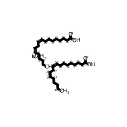 CCCCC/C=C\C/C=C\CCCCCCCC(=O)O.CCCCC/C=C\C/C=C\CCCCCCCC(=O)O.[MgH2]